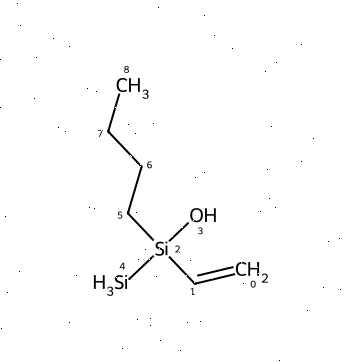 C=C[Si](O)([SiH3])CCCC